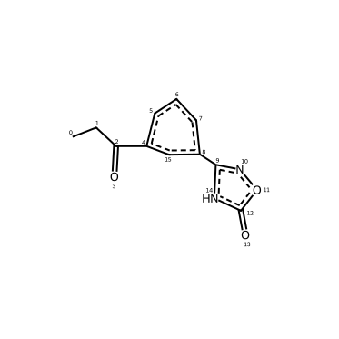 CCC(=O)c1cccc(-c2noc(=O)[nH]2)c1